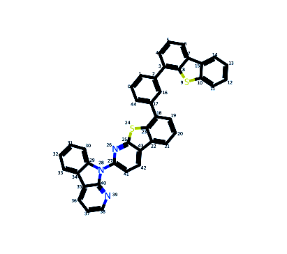 c1cc(-c2cccc3c2sc2ccccc23)cc(-c2cccc3c2sc2nc(-n4c5ccccc5c5cccnc54)ccc23)c1